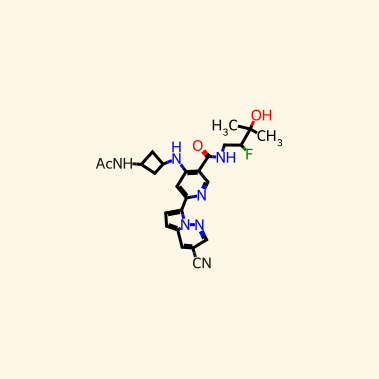 CC(=O)NC1CC(Nc2cc(-c3ccc4cc(C#N)cnn34)ncc2C(=O)NCC(F)C(C)(C)O)C1